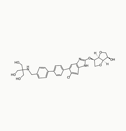 OCC(CO)(CO)NCc1ccc(-c2ccc(-c3cc4nc(O[C@@H]5CO[C@H]6[C@@H]5OC[C@H]6O)[nH]c4cc3Cl)cc2)cc1